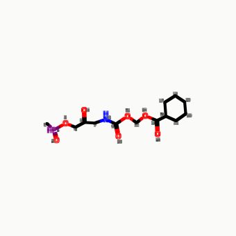 C[PH](=O)OCC(=O)CNC(=O)OCOC(=O)C1CCCCC1